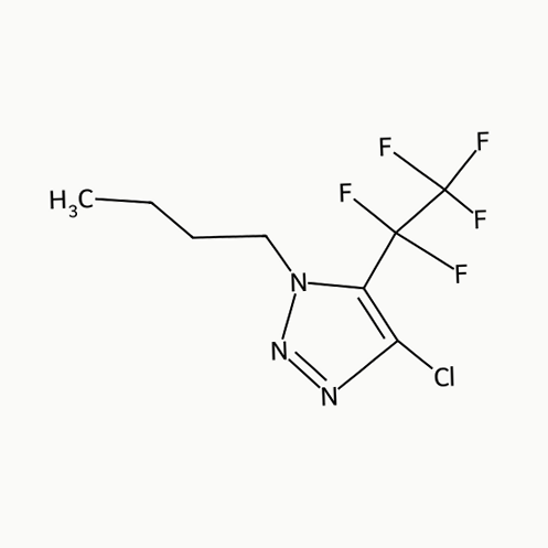 CCCCn1nnc(Cl)c1C(F)(F)C(F)(F)F